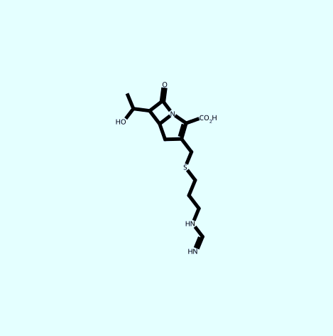 CC(O)C1C(=O)N2C(C(=O)O)=C(CSCCCNC=N)CC12